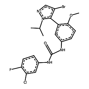 COc1ccc(NC(=O)Nc2ccc(F)c(Cl)c2)cc1-c1c(Br)cnn1C(C)C